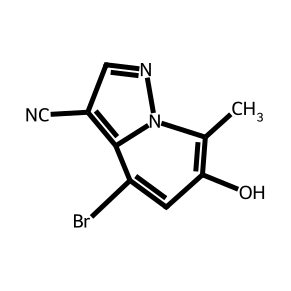 Cc1c(O)cc(Br)c2c(C#N)cnn12